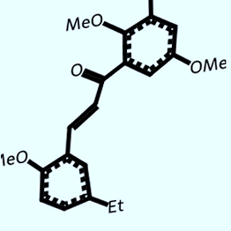 CCc1ccc(OC)c(C=CC(=O)c2cc(OC)cc(OC)c2OC)c1